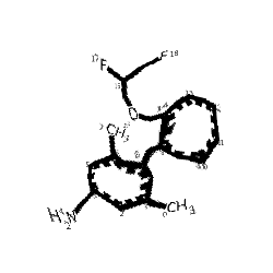 Cc1cc(N)cc(C)c1-c1ccccc1OC(F)F